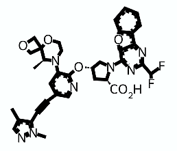 Cc1cnn(C)c1C#Cc1cnc(O[C@H]2C[C@@H](C(=O)O)N(c3nc(C(F)F)nc4c3oc3ccccc34)C2)c(N2CCOC3(COC3)[C@@H]2C)c1